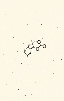 Cc1ccc2c(c1)=C1OC(=O)OCC1(C)C=2